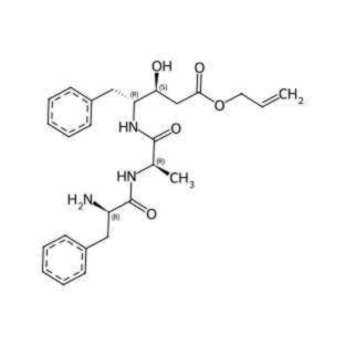 C=CCOC(=O)C[C@H](O)[C@@H](Cc1ccccc1)NC(=O)[C@@H](C)NC(=O)[C@H](N)Cc1ccccc1